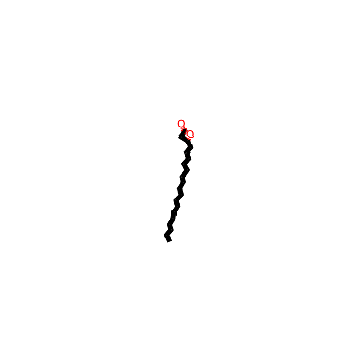 CCCCCCCCCCCCCCCCCC1CC(=O)O1